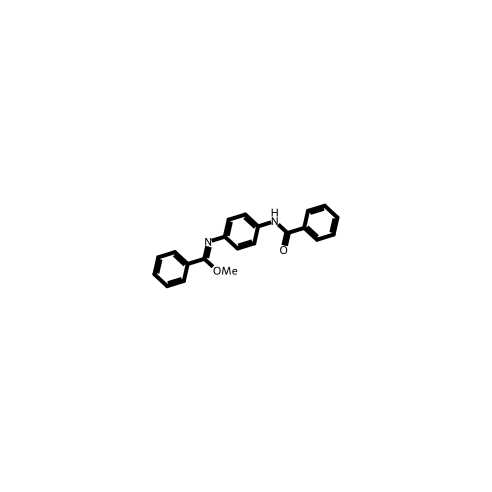 CO/C(=N\c1ccc(NC(=O)c2ccccc2)cc1)c1ccccc1